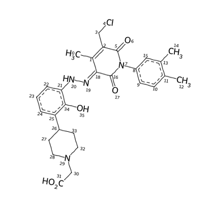 CC1=C(CCl)C(=O)N(c2ccc(C)c(C)c2)C(=O)C1=NNc1cccc(C2CCN(CC(=O)O)CC2)c1O